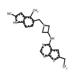 Cc1c(CN2CC(Nc3ncnc4sc(CC(F)(F)F)cc34)C2)ccc2[nH]c(C#N)cc12